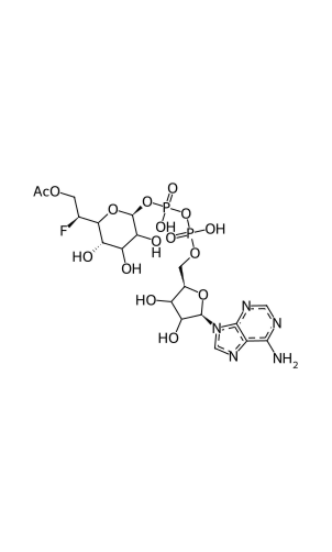 CC(=O)OC[C@H](F)C1O[C@@H](OP(=O)(O)OP(=O)(O)OC[C@H]2O[C@@H](n3cnc4c(N)ncnc43)C(O)C2O)C(O)C(O)[C@@H]1O